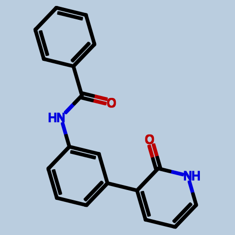 O=C(Nc1cccc(-c2ccc[nH]c2=O)c1)c1ccccc1